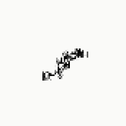 O=C(C=Cc1cccnc1)N1CC[C@@H]2CN(C(=O)c3ccc4[nH]nnc4c3)C[C@@H]2CC1